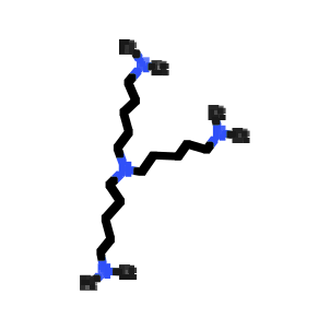 CCN(CC)CCCCCN(CCCCCN(CC)CC)CCCCCN(CC)CC